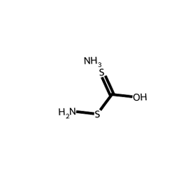 N.NSC(O)=S